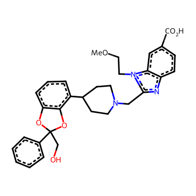 COCCn1c(CN2CCC(c3cccc4c3OC(CO)(c3ccccc3)O4)CC2)nc2ccc(C(=O)O)cc21